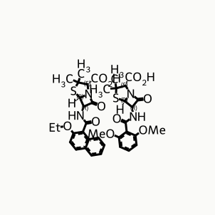 CCOc1ccc2ccccc2c1C(=O)N[C@@H]1C(=O)N2[C@@H]1SC(C)(C)[C@@H]2C(=O)O.COc1cccc(OC)c1C(=O)N[C@@H]1C(=O)N2[C@@H]1SC(C)(C)[C@@H]2C(=O)O